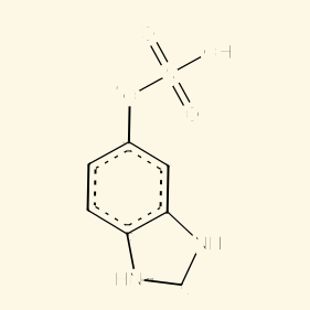 O=S(=O)(O)Oc1ccc2c(c1)NCN2